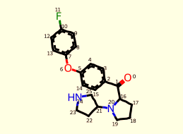 O=C(c1ccc(Oc2ccc(F)cc2)cc1)C1CCCN1C1CCNC1